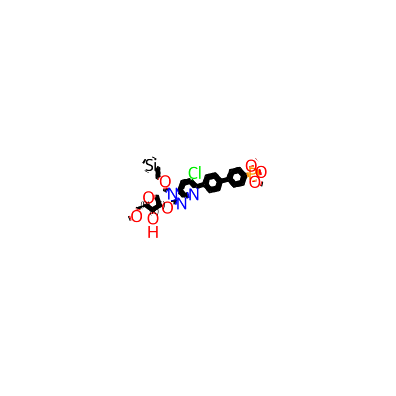 COC[C@H]1OC[C@H](Oc2nc3nc(-c4ccc(-c5ccc(P(=O)(OC)OC)cc5)cc4)c(Cl)cc3n2COCC[Si](C)(C)C)[C@@H]1O